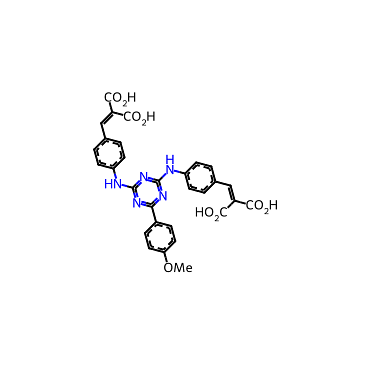 COc1ccc(-c2nc(Nc3ccc(C=C(C(=O)O)C(=O)O)cc3)nc(Nc3ccc(C=C(C(=O)O)C(=O)O)cc3)n2)cc1